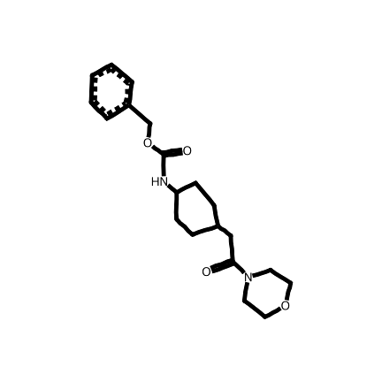 O=C(NC1CCC(CC(=O)N2CCOCC2)CC1)OCc1ccccc1